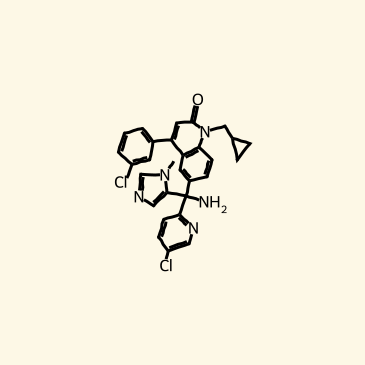 Cn1cncc1C(N)(c1ccc2c(c1)c(-c1cccc(Cl)c1)cc(=O)n2CC1CC1)c1ccc(Cl)cn1